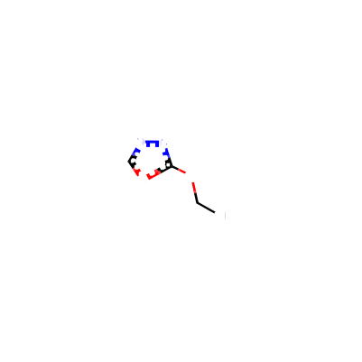 CCOc1nn[c]o1